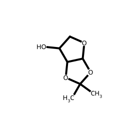 CC1(C)OC2OCC(O)C2O1